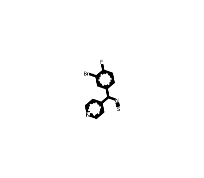 Fc1ccc(C(N=S)c2ccncc2)cc1Br